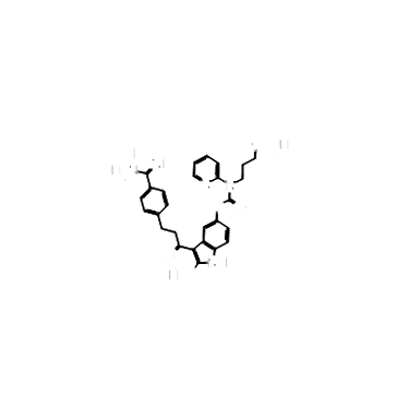 Cc1[nH]c2ccc(OC(=O)N(CCCC(=O)O)c3ccccn3)cc2c1C(=O)CCc1ccc(C(=N)N)cc1.Cl